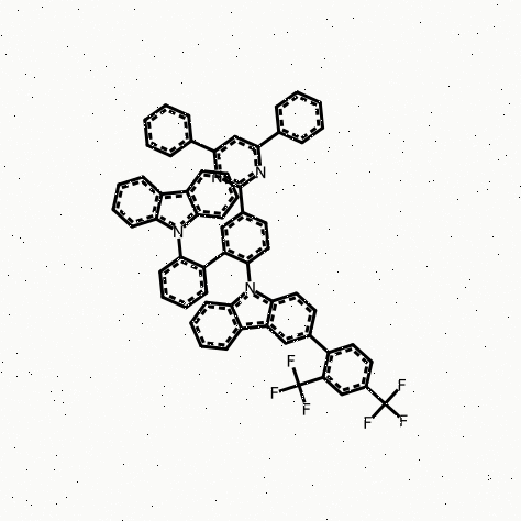 FC(F)(F)c1ccc(-c2ccc3c(c2)c2ccccc2n3-c2ccc(-c3nc(-c4ccccc4)cc(-c4ccccc4)n3)cc2-c2ccccc2-n2c3ccccc3c3ccccc32)c(C(F)(F)F)c1